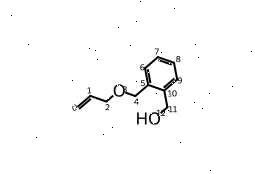 C=CCOCc1ccccc1CO